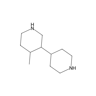 CC1CCNCC1C1CCNCC1